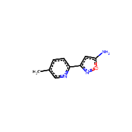 Cc1ccc(-c2cc(N)on2)nc1